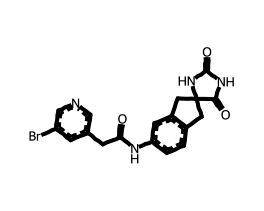 O=C(Cc1cncc(Br)c1)Nc1ccc2c(c1)CC1(C2)NC(=O)NC1=O